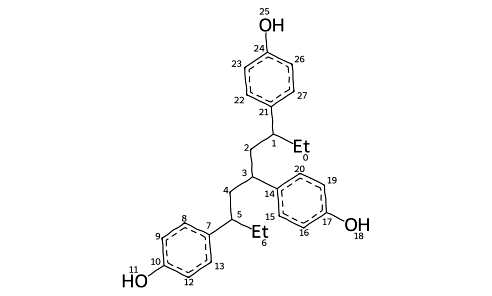 CCC(CC(CC(CC)c1ccc(O)cc1)c1ccc(O)cc1)c1ccc(O)cc1